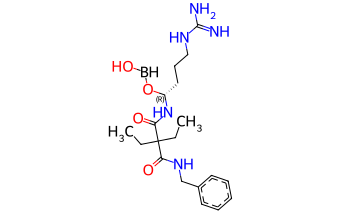 CCC(CC)(C(=O)NCc1ccccc1)C(=O)N[C@@H](CCCNC(=N)N)OBO